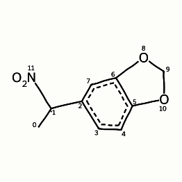 C[C](c1ccc2c(c1)OCO2)[N+](=O)[O-]